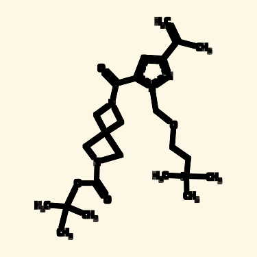 C=C(C)c1cc(C(=O)N2CC3(CN(C(=O)OC(C)(C)C)C3)C2)n(COCC[Si](C)(C)C)n1